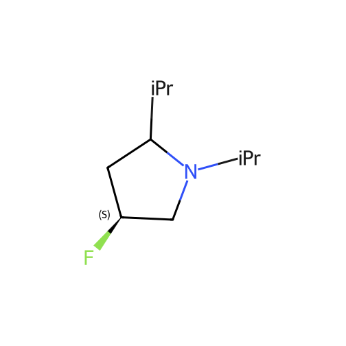 CC(C)C1C[C@H](F)CN1C(C)C